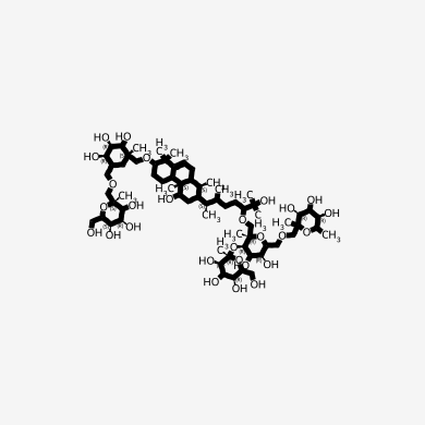 CC(CCC(OC[C@@]1(C)OC(COCC2(C)OC(C)[C@H](O)C(O)[C@H]2O)[C@H](O)C(O)[C@H]1O[C@@]1(C)OC(CO)[C@H](O)C(O)[C@H]1O)C(C)(C)O)[C@H](C)C1CC(O)[C@]2(C)C3CCC(OC[C@]4(C)CC(COC[C@]5(C)OC(CO)[C@@H](O)[C@@H](O)C5O)[C@@H](O)[C@@H](O)C4O)C(C)(C)C3=CCC2[C@H]1C